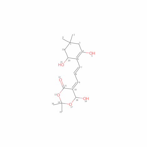 CC1(C)CC(O)=C(C=CC=C2C(=O)OC(C)(C)OC2O)C(O)C1